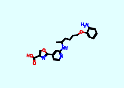 CC(CCCCOc1ccccc1N)Nc1cc(-c2nc(C(=O)O)co2)ccn1